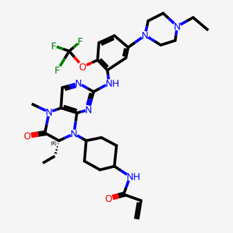 C=CC(=O)NC1CCC(N2c3nc(Nc4cc(N5CCN(CC)CC5)ccc4OC(F)(F)F)ncc3N(C)C(=O)[C@H]2CC)CC1